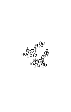 CS(=O)(=O)O.Cc1oc(=O)oc1CN1CCN(c2cc3c(cc2F)c(=O)c(C(=O)O)c2n3C(C)S2)CC1.Cc1oc(=O)oc1N1CCN(c2cc3c(cc2F)c(=O)c(C(=O)O)c2n3C(c3ccccc3)S2)C(C)C1